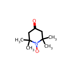 CC1(C)CC(=O)CC(C)(C)N1[O]